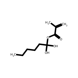 C=C(C)C(=O)OC(O)(O)CCCCC